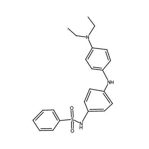 CCN(CC)c1ccc(Nc2ccc(NS(=O)(=O)c3ccccc3)cc2)cc1